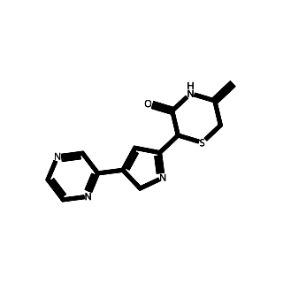 C=C1CSC(C2=NCC(c3cnccn3)=C2)C(=O)N1